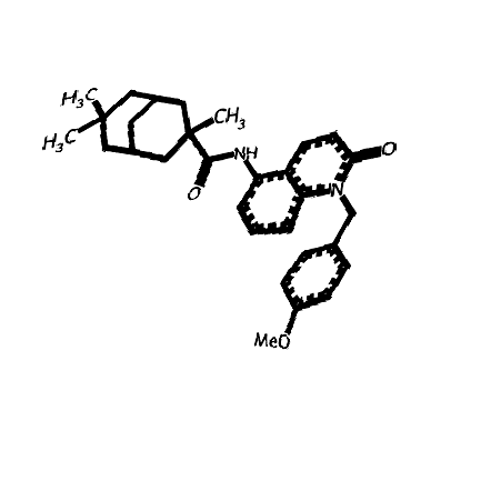 COc1ccc(Cn2c(=O)ccc3c(NC(=O)C4(C)CC5CC(CC(C)(C)C5)C4)cccc32)cc1